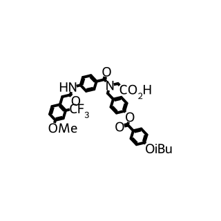 COc1ccc(CC(=O)Nc2ccc(C(=O)N(CC(=O)O)Cc3ccc(OC(=O)c4ccc(OCC(C)C)cc4)cc3)cc2)c(C(F)(F)F)c1